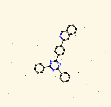 c1ccc(-c2nc(-c3ccccc3)nc(-c3ccc(-c4cc5ccccc5cn4)cc3)n2)cc1